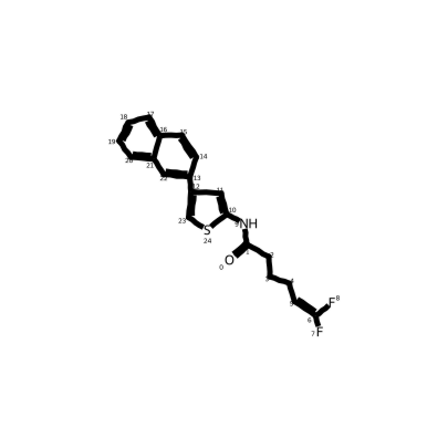 O=C(CCCC=C(F)F)Nc1cc(-c2ccc3ccccc3c2)cs1